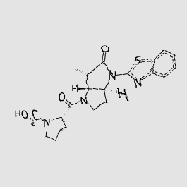 C[C@@H]1C(=O)N(c2nc3ccccc3s2)[C@H]2CCN(C(=O)[C@@H]3CCCN3C(=O)O)[C@H]12